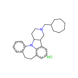 Cl.c1ccc2c(c1)CCc1cccc3c1N2C1CCN(CC2CCCCCC2)CC31